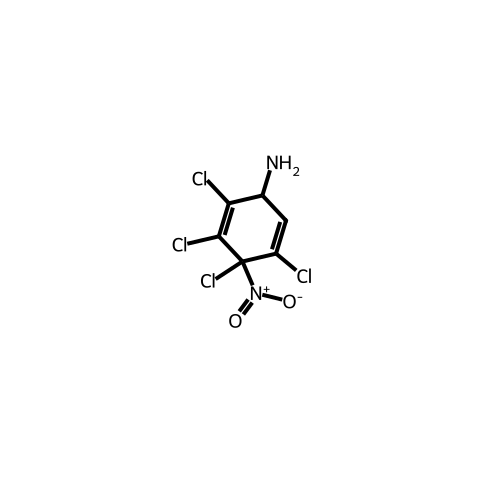 NC1C=C(Cl)C(Cl)([N+](=O)[O-])C(Cl)=C1Cl